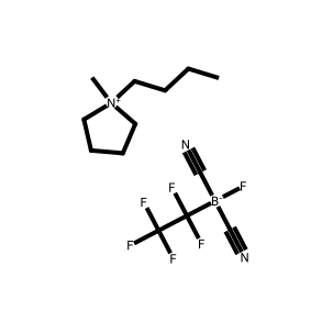 CCCC[N+]1(C)CCCC1.N#C[B-](F)(C#N)C(F)(F)C(F)(F)F